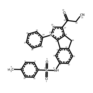 Cc1ccc(S(=O)(=O)Nc2ccc3c(c2)-c2c(c(C(=O)CC#N)nn2-c2ccccc2)C3)cc1